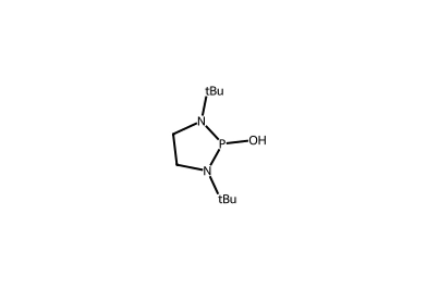 CC(C)(C)N1CCN(C(C)(C)C)P1O